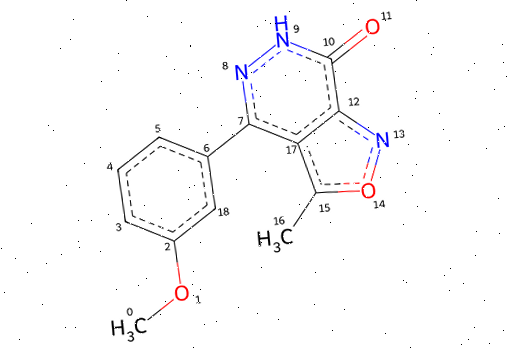 COc1cccc(-c2n[nH]c(=O)c3noc(C)c23)c1